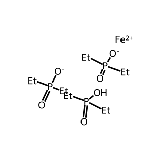 CCP(=O)(O)CC.CCP(=O)([O-])CC.CCP(=O)([O-])CC.[Fe+2]